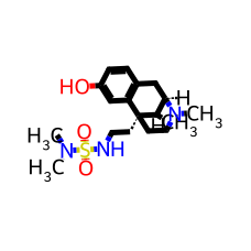 C[C@H]1[C@H]2Cc3ccc(O)cc3[C@]1(CCNS(=O)(=O)N(C)C)CCN2C